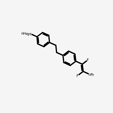 CCCCCCCc1ccc(CCc2ccc(/C(F)=C(\F)CCC)cc2)cc1